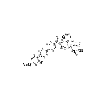 CNc1ccc(N2CCC(C3CCN(C(=O)c4ccc(-c5cn(C)c(=O)c(C)c5C)cc4OC(F)(F)F)CC3)CC2)c(F)c1